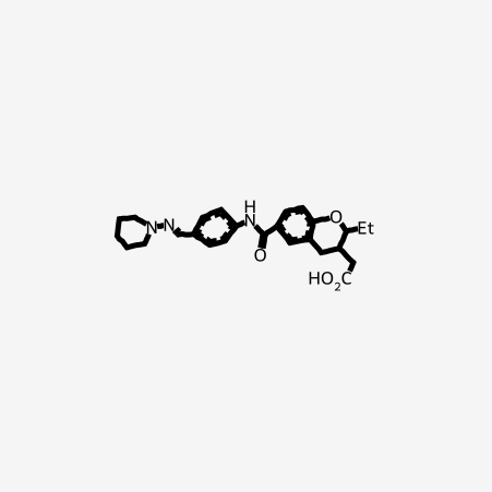 CCC1Oc2ccc(C(=O)Nc3ccc(C=NN4CCCCC4)cc3)cc2CC1CC(=O)O